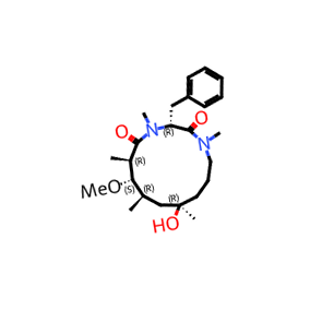 CO[C@H]1[C@H](C)C[C@](C)(O)CCCN(C)C(=O)[C@@H](Cc2ccccc2)N(C)C(=O)[C@@H]1C